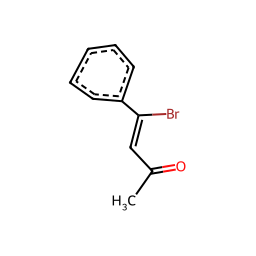 CC(=O)C=C(Br)c1ccccc1